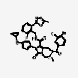 Cc1nnc(-c2cccc(F)c2CNC(=O)c2c3n(c(=O)n2-c2ccc(OC4CC4)cc2)C[C@H](C)N(C(=O)c2ccc(Br)c(Cl)c2)C3)o1